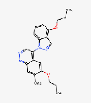 COCCOc1cc2c(-n3ncc4c(OCCOC)cccc43)cnnc2cc1OC